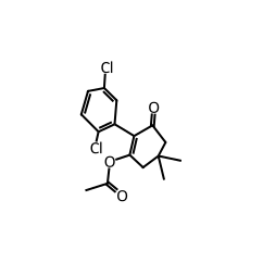 CC(=O)OC1=C(c2cc(Cl)ccc2Cl)C(=O)CC(C)(C)C1